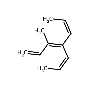 C=CC(C)=C(/C=C\C)/C=C\C